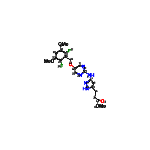 COC(=O)CCc1cc(Nc2ncc(OCc3c(F)c(OC)cc(OC)c3F)cn2)n[nH]1